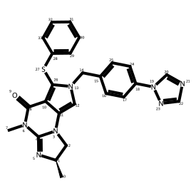 C[C@@H]1CN2C(=N1)N(C)C(=O)c1c2cn(Cc2ccc(-n3cncn3)cc2)c1Sc1ccccc1